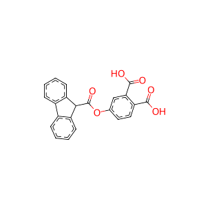 O=C(O)c1ccc(OC(=O)C2c3ccccc3-c3ccccc32)cc1C(=O)O